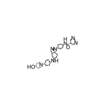 O=C(Nc1ccc(-n2ncc3cc(Nc4ccc(N5CCC(O)CC5)cc4)ccc32)cc1)c1cncnc1